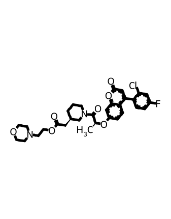 C[C@@H](Oc1ccc2c(-c3ccc(F)cc3Cl)cc(=O)oc2c1)C(=O)N1CCC[C@H](CC(=O)OCCN2CCOCC2)C1